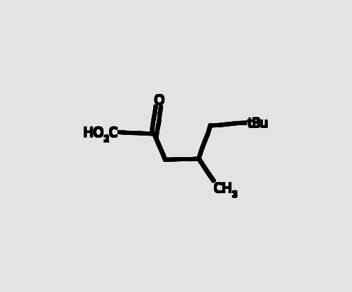 CC(CC(=O)C(=O)O)CC(C)(C)C